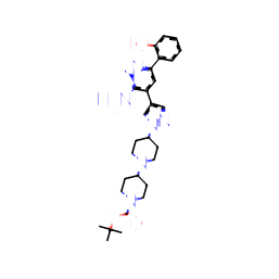 CC(C)(C)OC(=O)N1CCC(N2CCC(n3cc(-c4cc(-c5ccccc5O)nnc4N)cn3)CC2)CC1